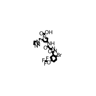 O=C(N[C@@H]1C[C@@H](Cn2ccnn2)N(C(=O)O)C1)c1nnc(-c2cc(OC(F)(F)F)ccc2Br)o1